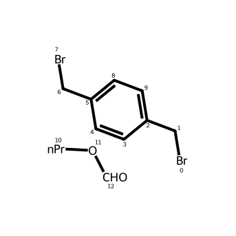 BrCc1ccc(CBr)cc1.CCCOC=O